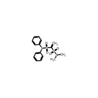 C=C(S(=O)(=O)N(C)C)S(=O)(=O)N(c1ccccc1)c1ccccc1